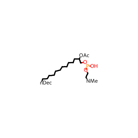 CCCCCCCCCCCCCCCCCCCCCC(COP(O)OCCNC)OC(C)=O